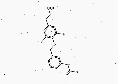 CCC(=O)Nc1cccc(COc2c(Br)cc(CCC(=O)O)cc2Br)c1